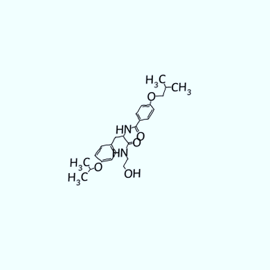 CC(C)COc1ccc(C(=O)NC(Cc2ccc(OC(C)C)cc2)C(=O)NCCO)cc1